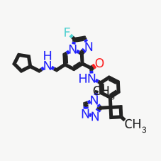 CC1CC(c2cccc(NC(=O)c3cc(CNCC4CCCC4)cn4c(F)cnc34)c2)(c2nncn2C)C1